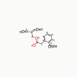 CCCCCCCCCCC(CCCCCCCCCC)COC(=O)Cc1ccccc1OC